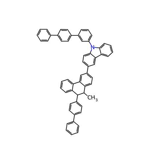 CC1c2ccc(-c3ccc4c(c3)c3ccccc3n4-c3cccc(-c4ccc(-c5ccccc5)cc4)c3)cc2-c2ccccc2C1c1ccc(-c2ccccc2)cc1